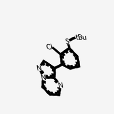 CC(C)(C)Sc1cccc(-c2cnn3cccnc23)c1Cl